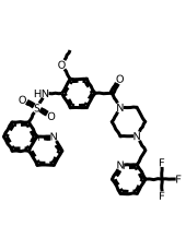 COc1cc(C(=O)N2CCN(Cc3ncccc3C(F)(F)F)CC2)ccc1NS(=O)(=O)c1cccc2cccnc12